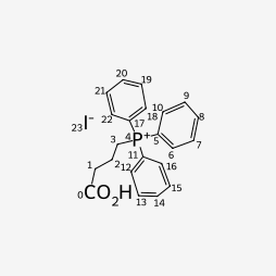 O=C(O)CCC[P+](c1ccccc1)(c1ccccc1)c1ccccc1.[I-]